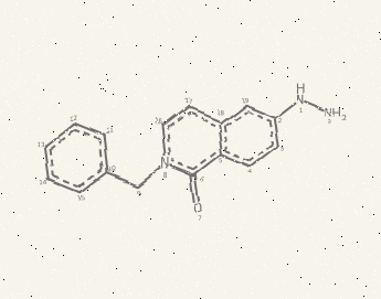 NNc1ccc2c(=O)n(Cc3ccccc3)ccc2c1